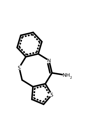 NC1=Nc2ccccc2SCc2ccsc21